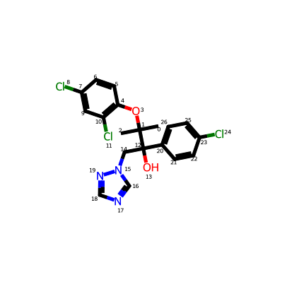 CC(C)(Oc1ccc(Cl)cc1Cl)C(O)(Cn1cncn1)c1ccc(Cl)cc1